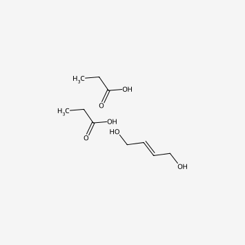 CCC(=O)O.CCC(=O)O.OCC=CCO